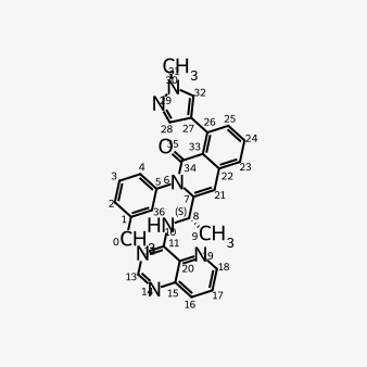 Cc1cccc(-n2c([C@H](C)Nc3ncnc4cccnc34)cc3cccc(-c4cnn(C)c4)c3c2=O)c1